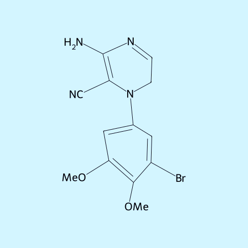 COc1cc(N2CC=NC(N)=C2C#N)cc(Br)c1OC